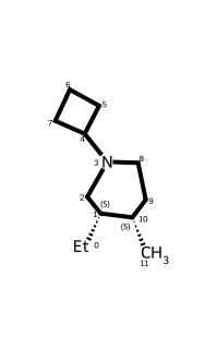 CC[C@@H]1CN(C2CCC2)CC[C@@H]1C